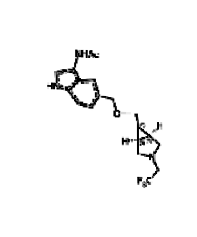 CC(=O)Nc1c[nH]c2ccc(COC[C@H]3[C@H]4CN(CC(F)(F)F)C[C@@H]34)cc12